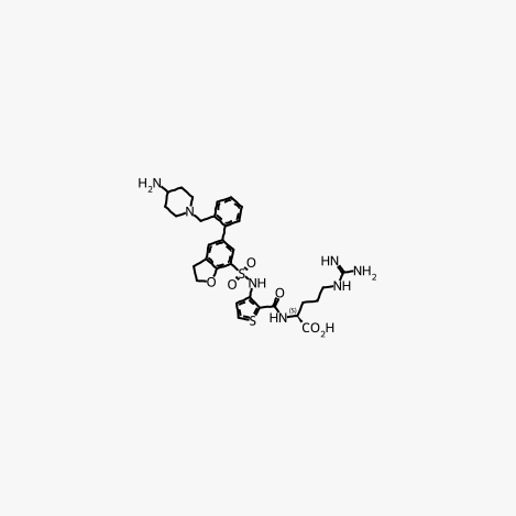 N=C(N)NCCC[C@H](NC(=O)c1sccc1NS(=O)(=O)c1cc(-c2ccccc2CN2CCC(N)CC2)cc2c1OCC2)C(=O)O